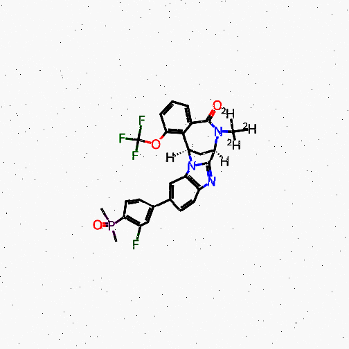 [2H]C([2H])([2H])N1C(=O)c2cccc(OC(F)(F)F)c2[C@H]2C[C@@H]1c1nc3ccc(-c4ccc(P(C)(C)=O)c(F)c4)cc3n12